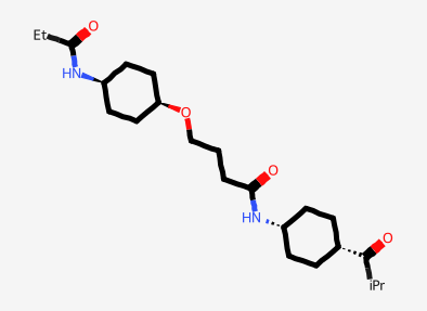 CCC(=O)N[C@H]1CC[C@@H](OCCCC(=O)N[C@H]2CC[C@@H](C(=O)C(C)C)CC2)CC1